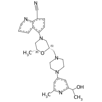 Cc1cc(N2CCN(C[C@H]3CN(c4ccc(C#N)c5ncccc45)C[C@@H](C)O3)CC2)cc(C(C)O)n1